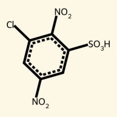 O=[N+]([O-])c1cc(Cl)c([N+](=O)[O-])c(S(=O)(=O)O)c1